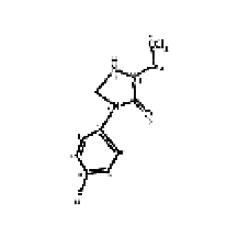 O=C1N(SC(Cl)(Cl)Cl)NCN1c1ccc(F)cc1